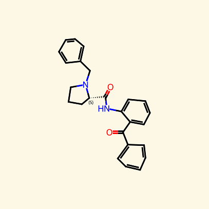 O=C(c1ccccc1)c1ccccc1NC(=O)[C@@H]1CCCN1Cc1ccccc1